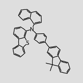 CC1(C)c2ccccc2-c2ccc(-c3ccc(N(c4cccc5ccccc45)c4cccc5c4sc4ccccc45)cc3)cc21